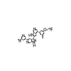 CN(C)CCOc1cc(F)cc(-c2cncc3[nH]c(-c4n[nH]c5cnc(-c6cncc(N(C)C)c6)cc45)cc23)c1